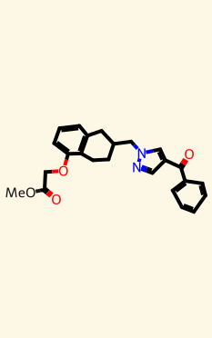 COC(=O)COc1cccc2c1CCC(Cn1cc(C(=O)c3ccccc3)cn1)C2